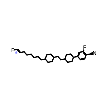 N#Cc1ccc(C2CCC(CCC3CCC(CCCCCC/C=C/F)CC3)CC2)cc1F